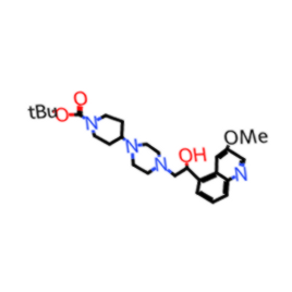 COc1cnc2cccc(C(O)CN3CCN(C4CCN(C(=O)OC(C)(C)C)CC4)CC3)c2c1